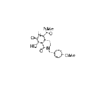 CNC(=O)c1c2c(c(O)c(=O)n1C)C(=O)N(Cc1ccc(OC)cc1)CC2